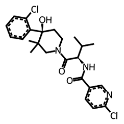 CC(C)[C@@H](NC(=O)c1ccc(Cl)nc1)C(=O)N1CC[C@@](O)(c2ccccc2Cl)C(C)(C)C1